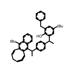 CC(c1ccc(C(C)c2c3c(c(C(C)(C)C)c4ccccc24)/C=C\CC=C=C3)cc1)c1cc(C(C)(C)C)cc(Cc2ccccc2)c1O